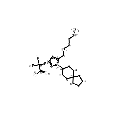 CNCCNCc1ccnn1C1CCC2(CCCC2)CC1.O=C(O)C(F)(F)F